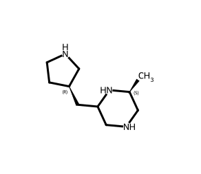 C[C@H]1CNCC(C[C@H]2CCNC2)N1